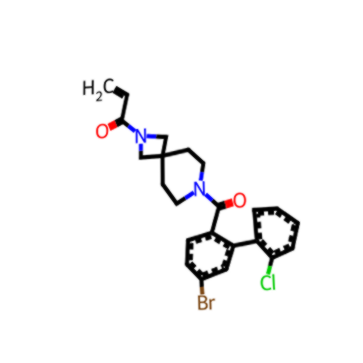 C=CC(=O)N1CC2(CCN(C(=O)c3ccc(Br)cc3-c3ccccc3Cl)CC2)C1